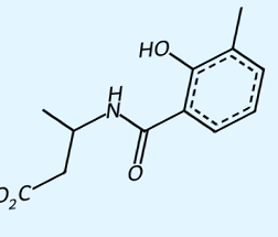 Cc1cccc(C(=O)NC(C)CC(=O)O)c1O